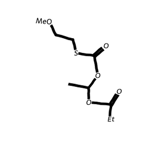 CCC(=O)OC(C)OC(=O)SCCOC